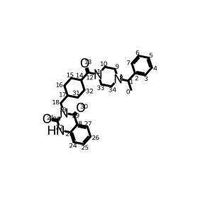 CC(c1ccccc1)N1CCN(C(=O)C2CCC(Cn3c(=O)[nH]c4ccccc4c3=O)CC2)CC1